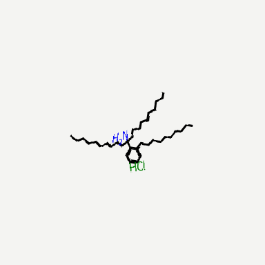 CCCCCCCCCCc1ccccc1C(N)(CCCCCCCCCC)CCCCCCCCCC.Cl